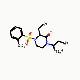 CC(C)CC(C(=O)O)N1CCN(S(=O)(=O)c2ccccc2[N+](=O)[O-])C(CC(C)C)C1=O